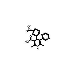 CC1=C(C(=O)O)C(c2cccc([N+](=O)[O-])c2)C(c2cnccn2)=C(C)N1